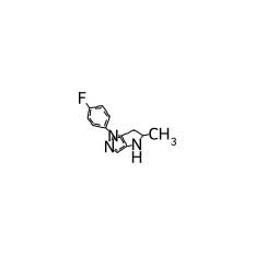 CC1Cc2c(cnn2-c2ccc(F)cc2)N1